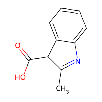 CC1=Nc2ccccc2C1C(=O)O